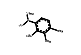 CCCCCCP(CCC)c1ccc(CCCC)c(CCCC)c1CCCC